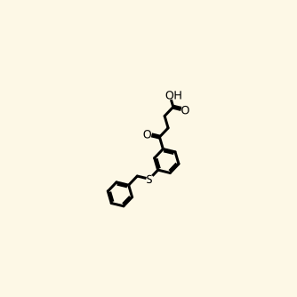 O=C(O)CCC(=O)c1cccc(SCc2ccccc2)c1